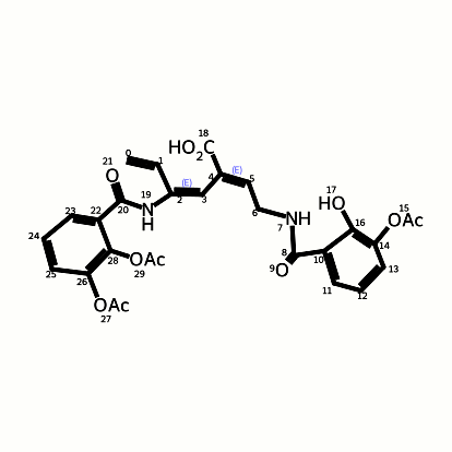 C=C/C(=C\C(=C/CNC(=O)c1cccc(OC(C)=O)c1O)C(=O)O)NC(=O)c1cccc(OC(C)=O)c1OC(C)=O